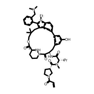 C=CC(=O)N1CC[C@H](C(=O)N(C)[C@H](C(=O)N[C@H]2Cc3cc(O)cc(c3)-c3ccc4c(c3)c(c(-c3ccccc3CN(C)C)n4CC)CC(C)(C)COC(=O)[C@@H]3CCCN(N3)C2=O)C(C)C)C1